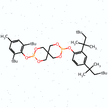 Cc1cc(C(C)(C)C)c(OP2OCC3(COP(Oc4ccc(C(C)(C)CC(C)(C)C)cc4C(C)(C)CC(C)(C)C)OC3)CO2)c(C(C)(C)C)c1